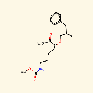 COC(=O)C(CCCCNC(=O)OC(C)(C)C)OCC(C)Cc1ccccc1